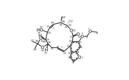 COCOc1cc2occc2c2c1C(=O)O[C@@H](C)[C@H](C)/C=C\C(O)[C@H]1OC(C)(C)O[C@H]1C/C=C/2